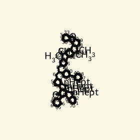 CCCCCCCC1(CCCCCCC)c2cc(CC(Cc3ccc4c(c3)C(C)(C)c3cc5c(cc3-4)C(C)(C)c3ccc4oc6ccccc6c4c3-5)c3ccc(-c4ccccc4)cc3)ccc2-c2c1c1c(c3c2oc2ccccc23)-c2ccccc2C1(CCCCCCC)CCCCCCC